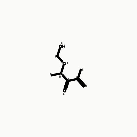 C=C(C)C(=O)N(C)OCO